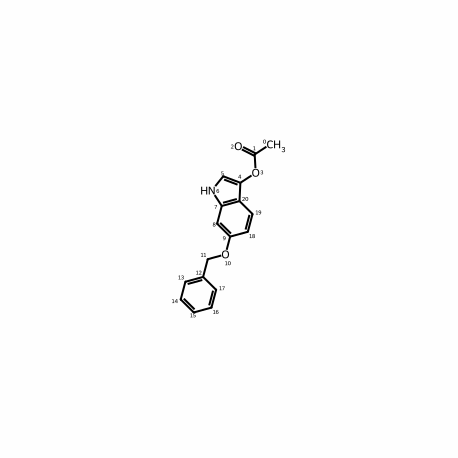 CC(=O)Oc1c[nH]c2cc(OCc3ccccc3)ccc12